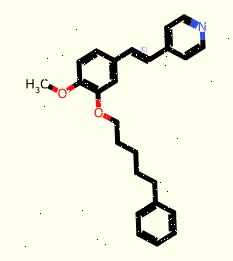 COc1ccc(/C=C/c2ccncc2)cc1OCCCCCc1ccccc1